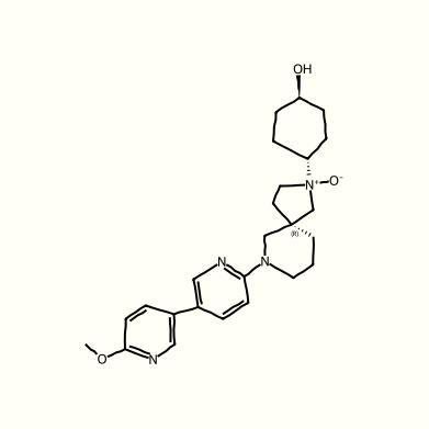 COc1ccc(-c2ccc(N3CCC[C@@]4(CC[N+]([O-])([C@H]5CC[C@H](O)CC5)C4)C3)nc2)cn1